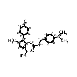 Cc1cn(CC(C)C)c(OC(=O)NCc2ccc(N(C)C)cc2)c1-c1ccc(Cl)cc1